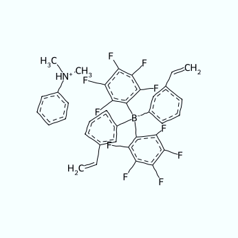 C=Cc1cccc([B-](c2cccc(C=C)c2)(c2c(F)c(F)c(F)c(F)c2F)c2c(F)c(F)c(F)c(F)c2F)c1.C[NH+](C)c1ccccc1